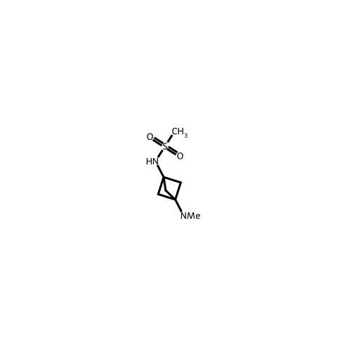 CNC12CC(NS(C)(=O)=O)(C1)C2